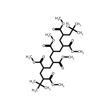 COC(=O)C(CC(CC(CC(C(=O)OC)C(C)(C)C)C(=O)OC)C(=O)OC)CC(CC(CC(C)(C)C)C(=O)OC)C(=O)OC